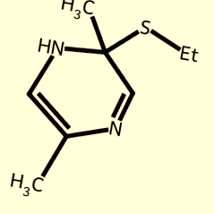 CCSC1(C)C=NC(C)=CN1